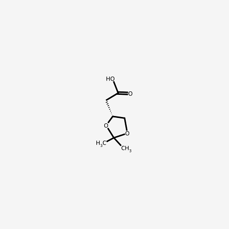 CC1(C)OC[C@@H](CC(=O)O)O1